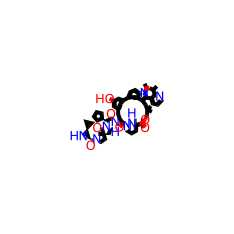 CCn1c(-c2cccnc2C(C)C)c2c3cc(ccc31)-c1cc(O)cc(c1)C[C@H](NC(=O)[C@H](C1CCCC1)N1CC[C@]3(CCN(C(=O)[C@@H]4N[C@@H]4C4CC4)C3)C1=O)C(=O)N1CCC[C@H](N1)C(=O)OCC(C)(C)C2